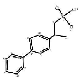 CC(C[Si](Cl)(Cl)Cl)c1ccc(-c2ccccc2)cc1